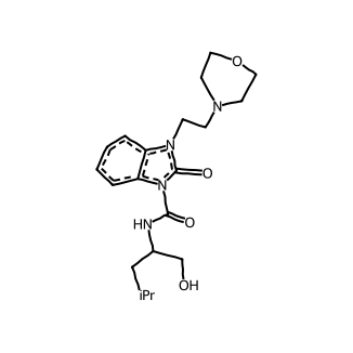 CC(C)CC(CO)NC(=O)n1c(=O)n(CCN2CCOCC2)c2ccccc21